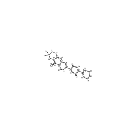 CC1(C)CCc2nc3cc(-c4cnc(-c5ccccn5)cn4)ccc3c(=O)n2C1